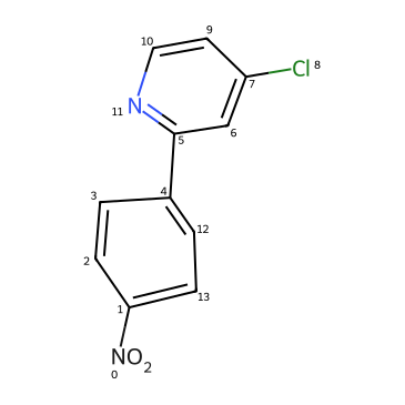 O=[N+]([O-])c1ccc(-c2cc(Cl)ccn2)cc1